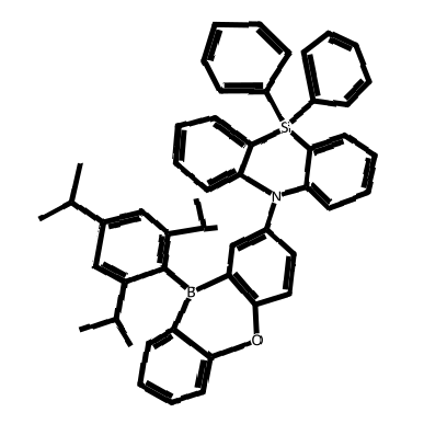 CC(C)c1cc(C(C)C)c(B2c3ccccc3Oc3ccc(N4c5ccccc5[Si](c5ccccc5)(c5ccccc5)c5ccccc54)cc32)c(C(C)C)c1